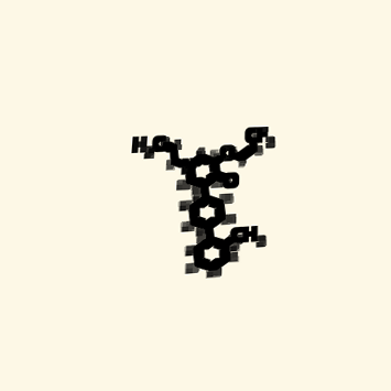 C=CCn1cc(O/C=C\C(F)(F)F)c(=O)c(-c2ccc(-c3ccccc3C)cc2)c1